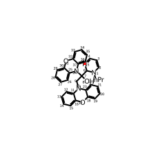 CCCN1C=CC=NC1C(O)(CN1c2ccccc2Oc2ccccc21)N1c2ccccc2Oc2ccccc21